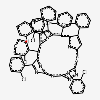 Clc1ccccc1C1=Cc2cc3nnc(nc4nc(c(-c5ccccc5Cl)c5c(-c6ccccc6Cl)c(-c6ccccc6Cl)c(c(-c6ccccc6Cl)c1n2)n5-c1ccccc1Cl)C(c1ccccc1Cl)=N4)n3-c1ccccc1Cl